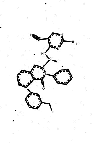 C[C@H](Nc1nc(N)ncc1C#N)c1cc2cccc(-c3cccc(CI)c3)c2c(=O)n1-c1ccccc1